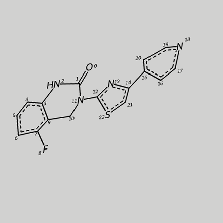 O=C1Nc2cccc(F)c2CN1c1nc(-c2ccncc2)cs1